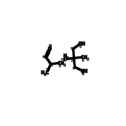 CC(C)(CO)CO.CC(C)C=O